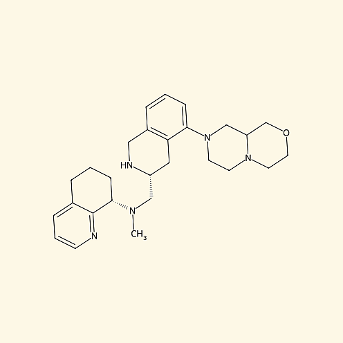 CN(C[C@H]1Cc2c(cccc2N2CCN3CCOCC3C2)CN1)[C@H]1CCCc2cccnc21